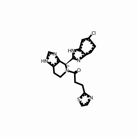 O=C(CCc1nccs1)N1CCc2[nH]cnc2[C@H]1c1nc2ccc(Cl)cc2[nH]1